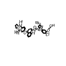 CC(C)(C)c1cc(NC(=O)N[C@H]2CC[C@@H](Oc3ccc(=N)n(C(=N)N4CCCC4)c3)c3ccccc32)n(-c2ccc(Cl)c(OCCO)c2)n1